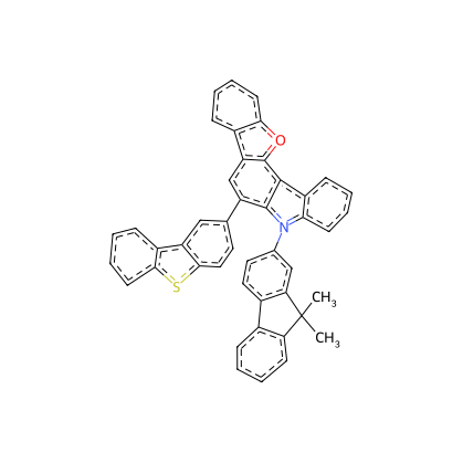 CC1(C)c2ccccc2-c2ccc(-n3c4ccccc4c4c5oc6ccccc6c5cc(-c5ccc6sc7ccccc7c6c5)c43)cc21